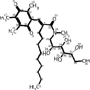 CCCCCCCCCC(=CC1=C(C)C(=O)C(C)=C(C)C1=O)C(=O)N(C)C[C@H](O)[C@@H](O)[C@H](O)[C@H](O)CO